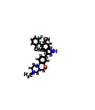 COc1cccc(F)c1-c1cc2c(-c3ccc4c(c3)OCC3CN(C)CCN43)c[nH]c2cc1C#N